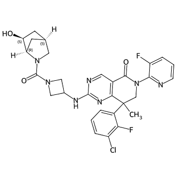 CC1(c2cccc(Cl)c2F)CN(c2ncccc2F)C(=O)c2cnc(NC3CN(C(=O)N4C[C@H]5C[C@@H]4[C@@H](O)C5)C3)nc21